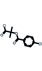 CC(C)(OC(=O)c1ccc(Cl)cc1)C(=O)Cl